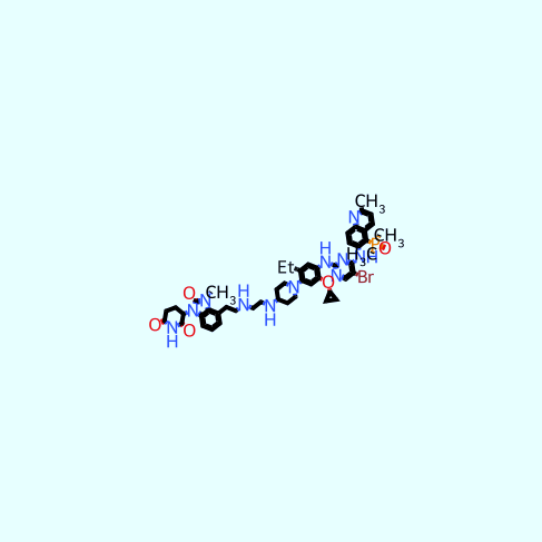 CCc1cc(Nc2ncc(Br)c(Nc3ccc4nc(C)ccc4c3P(C)(C)=O)n2)c(OC2CC2)cc1N1CCC(NCCNCCc2cccc3c2n(C)c(=O)n3C2CCC(=O)NC2=O)CC1